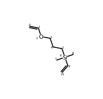 C=COCCC[Si](C)(C)C=C